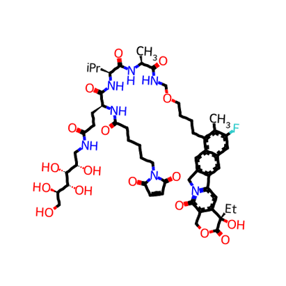 CC[C@@]1(O)C(=O)OCc2c1cc1n(c2=O)Cc2cc3c(CCCCOCNC(=O)[C@H](C)NC(=O)[C@@H](NC(=O)[C@H](CCC(=O)NC[C@H](O)[C@@H](O)[C@H](O)[C@H](O)CO)NC(=O)CCCCCN4C(=O)C=CC4=O)C(C)C)c(C)c(F)cc3cc2-1